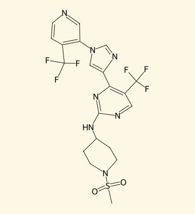 CS(=O)(=O)N1CCC(Nc2ncc(C(F)(F)F)c(-c3cn(-c4cnccc4C(F)(F)F)cn3)n2)CC1